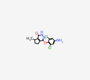 CC1CCc2c(Oc3c(Cl)cc(N)cc3Cl)n[nH]c(=O)c21